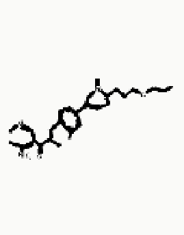 CCCOCCCC1=CC=C(c2ccc(/C=C(\C)C(=O)C(/C=N\C)=C(/C)N)c(C)c2)CN1C